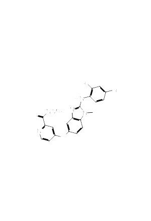 CNC(=O)c1cc(Oc2ccc3c(c2)nc(Nc2ccc(Br)cc2Br)n3C)ccn1